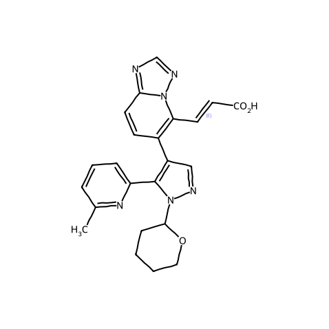 Cc1cccc(-c2c(-c3ccc4ncnn4c3/C=C/C(=O)O)cnn2C2CCCCO2)n1